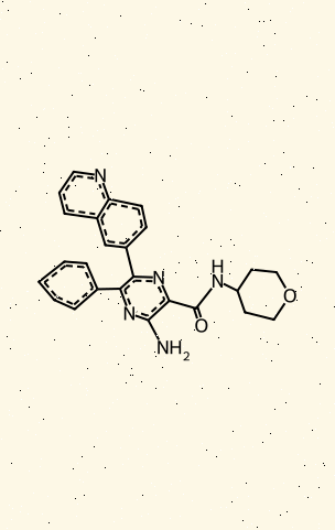 Nc1nc(-c2ccccc2)c(-c2ccc3ncccc3c2)nc1C(=O)NC1CCOCC1